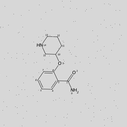 NC(=O)c1ccccc1OC1CCCNC1